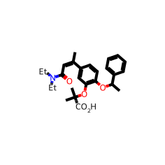 CCN(CC)C(=O)/C=C(/C)c1ccc(OC(C)c2ccccc2)c(OC(C)(C)C(=O)O)c1